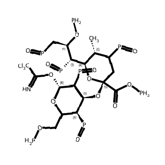 C[C@@H]1C(P=O)C[C@](O[C@@H]2C(P=O)[C@@H](OC(=N)C(Cl)(Cl)Cl)OC(COP)[C@@H]2P=O)(C(=O)OP)O[C@H]1[C@H](P=O)[C@@H](CP=O)OP